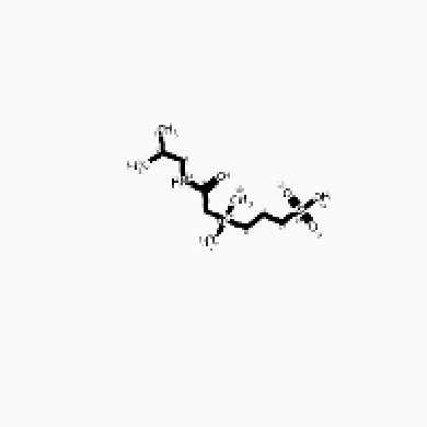 CC(C)CNC(=O)C[N+](C)(C)CCCS(=O)(=O)O